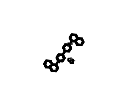 [Cl-].[Cl-].c1ccc2c(-[n+]3ccc(-c4cc[n+](-c5cccc6ccccc56)cc4)cc3)cccc2c1